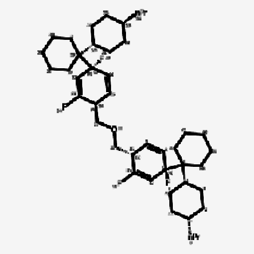 CCC[C@H]1CC[C@H](C2([C@@]3(F)C=C[C@@H](COC[C@@H]4C=C[C@](F)(C5([C@H]6CC[C@H](CCC)CC6)CCCCC5)C=C4F)C(F)=C3)CCCCC2)CC1